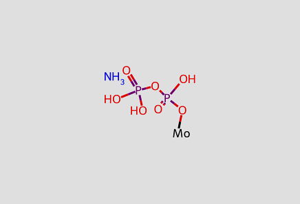 N.O=P(O)(O)OP(=O)(O)[O][Mo]